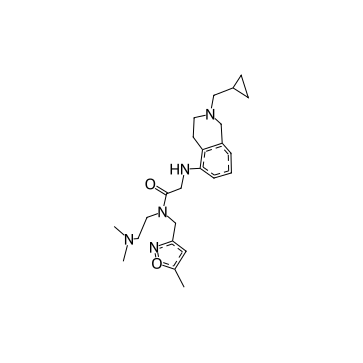 Cc1cc(CN(CCN(C)C)C(=O)CNc2cccc3c2CCN(CC2CC2)C3)no1